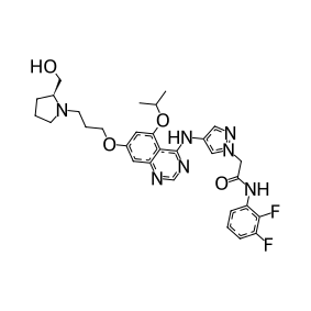 CC(C)Oc1cc(OCCCN2CCC[C@H]2CO)cc2ncnc(Nc3cnn(CC(=O)Nc4cccc(F)c4F)c3)c12